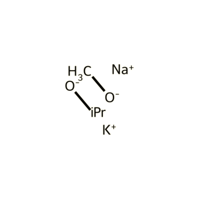 CC(C)[O-].C[O-].[K+].[Na+]